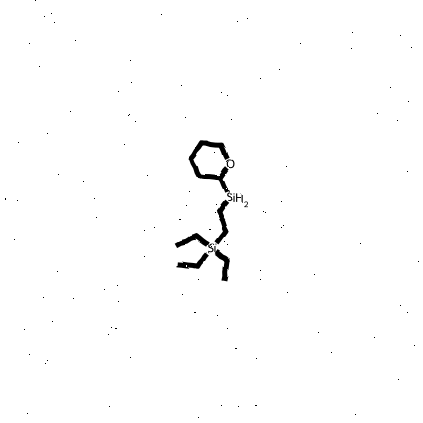 CC[Si](CC)(CC)CC[SiH2]C1CCCCO1